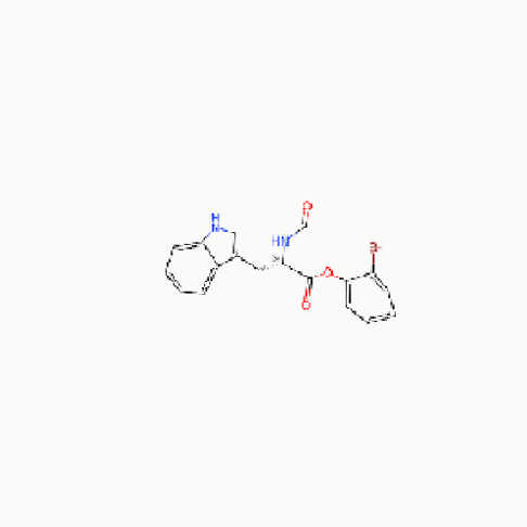 O=CN[C@@H](Cc1c[nH]c2ccccc12)C(=O)Oc1ccccc1Br